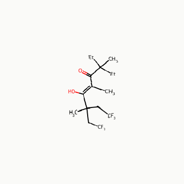 CCC(C)(CC)C(=O)/C(C)=C(\O)C(C)(CC(F)(F)F)CC(F)(F)F